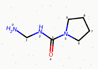 NCNC(=O)N1CCCC1